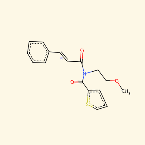 COCCN(C(=O)/C=C/c1ccccc1)C(=O)c1cccs1